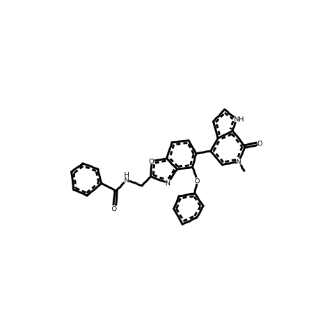 Cn1cc(-c2ccc3oc(CNC(=O)c4ccccc4)nc3c2Oc2ccccc2)c2cc[nH]c2c1=O